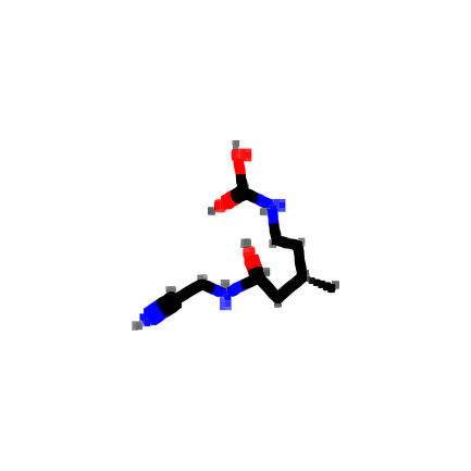 C[C@@H](CCNC(=O)O)CC(=O)NCC#N